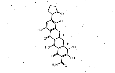 CCN1CCCC1c1cc(O)c2c(c1Cl)C[C@H]1C[C@@H]3C(C(=O)C(C(N)=O)=C(O)[C@H]3N)C(O)=C1C2=O